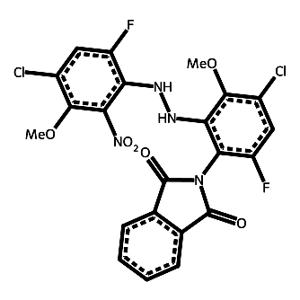 COc1c(Cl)cc(F)c(N2C(=O)c3ccccc3C2=O)c1NNc1c(F)cc(Cl)c(OC)c1[N+](=O)[O-]